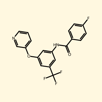 O=C(Nc1cc(Oc2cccnc2)cc(C(F)(F)F)c1)c1ccc(F)cc1